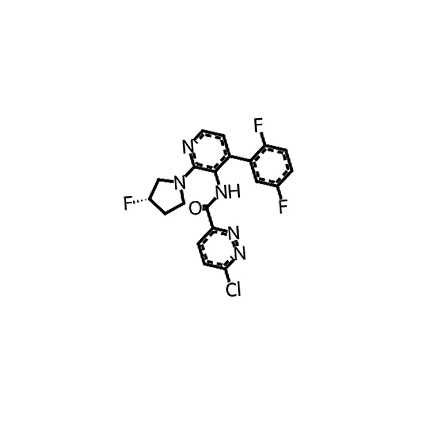 O=C(Nc1c(-c2cc(F)ccc2F)ccnc1N1CC[C@H](F)C1)c1ccc(Cl)nn1